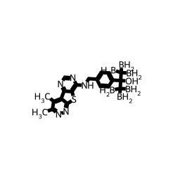 BC(B)(B)C(O)(c1ccc(CNc2ncnc3c2sc2nnc(C)c(C)c23)cc1)C(B)(B)B